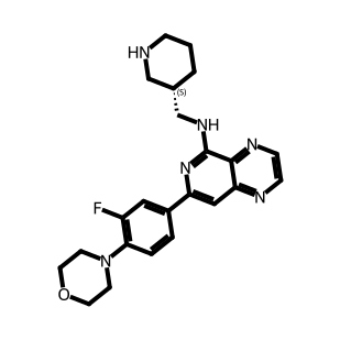 Fc1cc(-c2cc3nccnc3c(NC[C@H]3CCCNC3)n2)ccc1N1CCOCC1